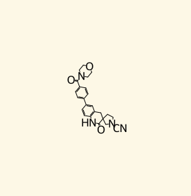 N#CN1CCC2(Cc3cc(-c4ccc(C(=O)N5CCOCC5)cc4)ccc3NC2=O)C1